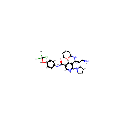 N=C/C=C(\NC1CCCCO1)c1cc(C(=O)Nc2ccc(OC(F)(F)Cl)cc2)cnc1N1CCCC1